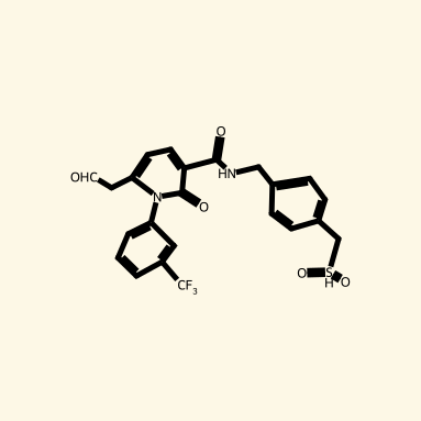 O=CCc1ccc(C(=O)NCc2ccc(C[SH](=O)=O)cc2)c(=O)n1-c1cccc(C(F)(F)F)c1